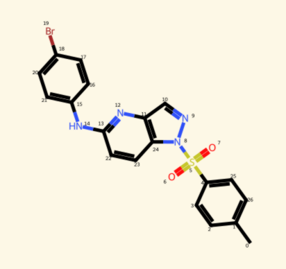 Cc1ccc(S(=O)(=O)n2ncc3nc(Nc4ccc(Br)cc4)ccc32)cc1